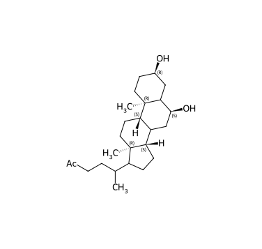 CC(=O)CCC(C)C1CC[C@H]2C3C[C@H](O)C4C[C@H](O)CC[C@]4(C)[C@H]3CC[C@]12C